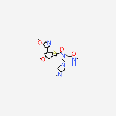 CNC(=O)CCN(CCN1CCC(N(C)C)CC1)C(=O)c1cc2cc(OC)cc(-c3cncc(OC)c3)c2s1